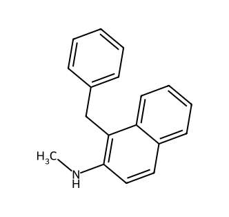 CNc1ccc2ccccc2c1Cc1ccccc1